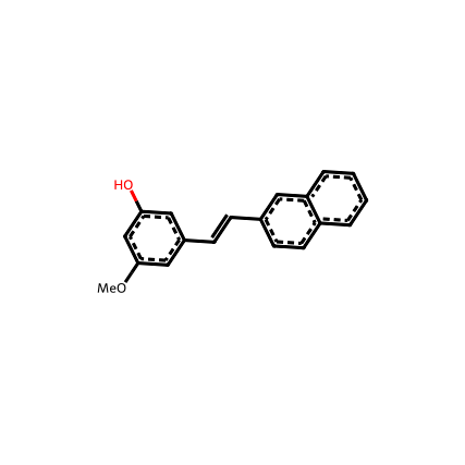 COc1cc(O)cc(/C=C/c2ccc3ccccc3c2)c1